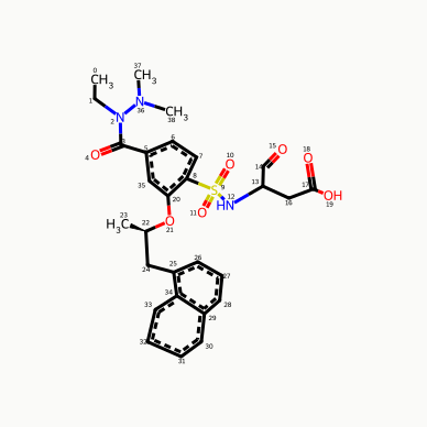 CCN(C(=O)c1ccc(S(=O)(=O)NC(C=O)CC(=O)O)c(O[C@H](C)Cc2cccc3ccccc23)c1)N(C)C